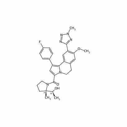 COc1cc2c(cc1-c1nnn(C)n1)-c1c(-c3ccc(F)cc3)cc(C(=O)N3CCC[C@@]3(C)[C@H](C)O)n1CC2